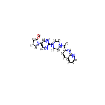 CC(c1ccc2cccnc2n1)N1CCN(c2ncc(N3CCCC3=O)cn2)CC1